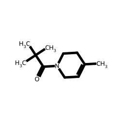 CC1=CCN(C(=O)C(C)(C)C)CC1